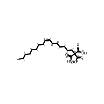 CCCCCCCC/C=C\CCCCCCC(C(=O)O)(C(=O)O)C(=O)O